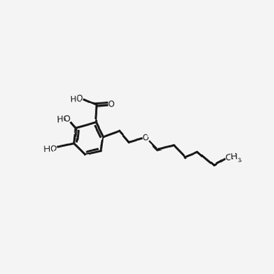 CCCCCCOCCc1ccc(O)c(O)c1C(=O)O